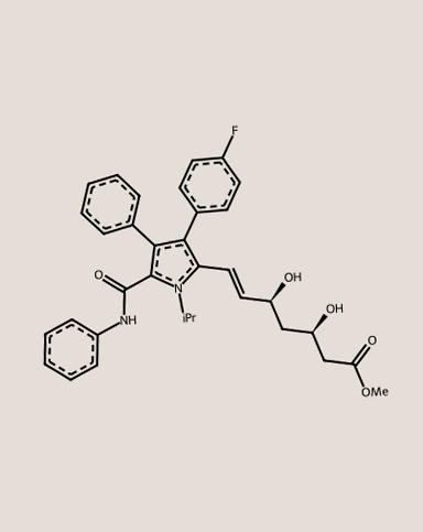 COC(=O)C[C@H](O)C[C@H](O)C=Cc1c(-c2ccc(F)cc2)c(-c2ccccc2)c(C(=O)Nc2ccccc2)n1C(C)C